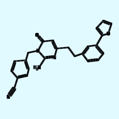 N#Cc1ccc(Cn2c(N)nc(CCc3cccc(-c4ccco4)c3)cc2=O)cc1